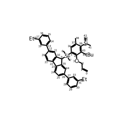 C=CCOc1c([Si](C)(C)C2c3cc(-c4cccc(CC)c4)ccc3-c3ccc(-c4cccc(CC)c4)cc32)cc(C)c([SiH](C)C)c1C(C)(C)C